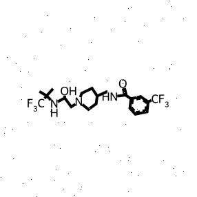 CC(C)(NC(O)CN1CCC(CNC(=O)c2cccc(C(F)(F)F)c2)CC1)C(F)(F)F